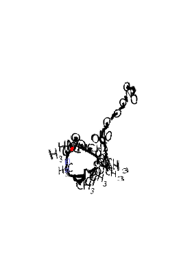 C/C1=C\C=C\C(C)C2(O)CC(OC(=O)N2)C(C)C2OC2(C)C(OC(=O)C(C)N(C)C(=O)CCSC2CC(=O)N(CCOCCOCCOCCN3C(=O)C=CC3=O)C2=O)CC(=O)N(C)c2cc(cc(C)c2Cl)C1